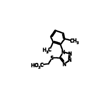 Cc1cccc(C)c1-n1nnnc1SCC(=O)O